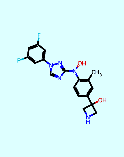 Cc1cc(C2(O)CNC2)ccc1N(O)c1ncn(-c2cc(F)cc(F)c2)n1